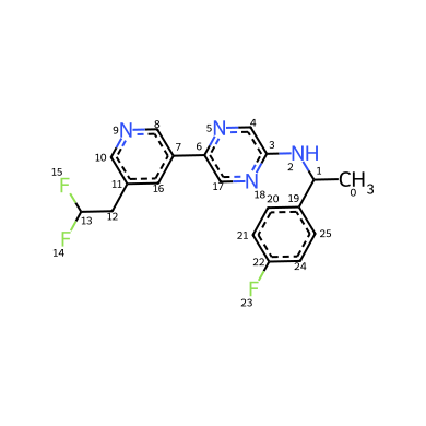 CC(Nc1cnc(-c2cncc(CC(F)F)c2)cn1)c1ccc(F)cc1